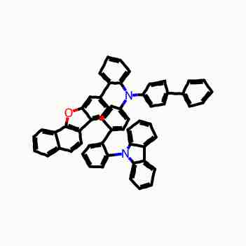 c1ccc(-c2ccc(N(c3ccc(-c4ccccc4-n4c5ccccc5c5ccccc54)cc3)c3ccccc3-c3ccc4c(c3)oc3c5ccccc5ccc43)cc2)cc1